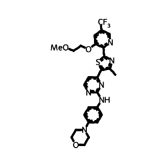 COCCOc1cc(C(F)(F)F)cnc1-c1nc(C)c(-c2ccnc(Nc3ccc(N4CCOCC4)cc3)n2)s1